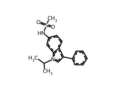 CC(C)n1cc(-c2ccccc2)c2ccc(NS(C)(=O)=O)cc21